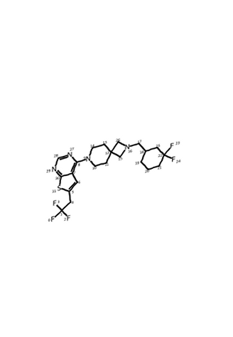 FC(F)(F)Cc1cc2c(N3CCC4(CC3)CN(CC3CCCC(F)(F)C3)C4)ncnc2s1